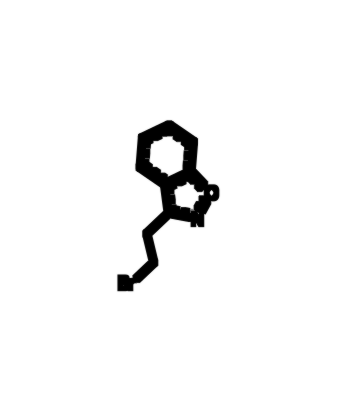 BrCCc1noc2ccccc12